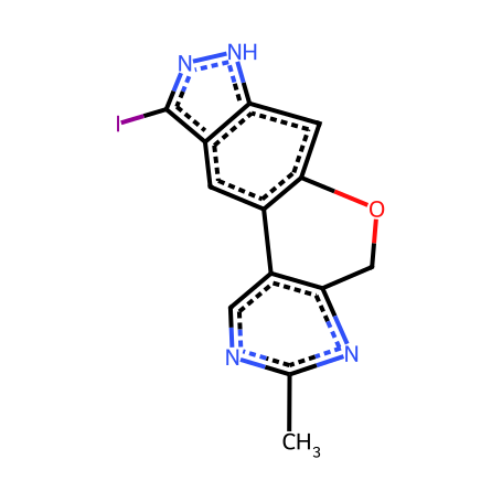 Cc1ncc2c(n1)COc1cc3[nH]nc(I)c3cc1-2